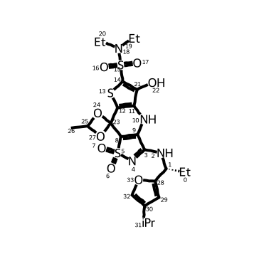 CC[C@@H](NC1=NS(=O)(=O)C2=C1Nc1c(sc(S(=O)(=O)N(CC)CC)c1O)C21OC(C)O1)c1cc(C(C)C)co1